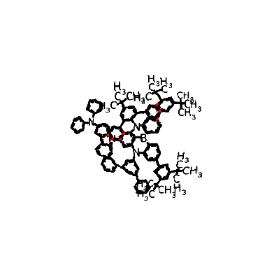 CC(C)(C)c1cc(-c2ccc3c(c2)N(c2cc(-c4ccccc4)cc(-c4ccccc4)c2)c2cc(-n4c5ccccc5c5cc(N(c6ccccc6)c6ccccc6)ccc54)cc4c2B3c2ccc(-c3cc(C(C)(C)C)cc(C(C)(C)C)c3)cc2N4c2c(-c3ccccc3)cc(C(C)(C)C)cc2-c2ccccc2)cc(C(C)(C)C)c1